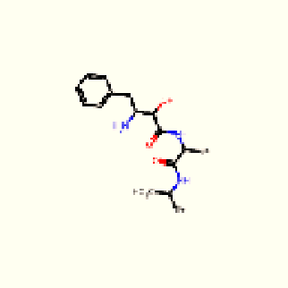 CC(C)C(NC(=O)C(NC(=O)C(O)C(N)Cc1ccccc1)C(C)C)C(=O)O